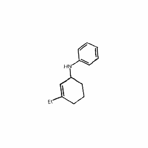 CCC1=CC(Nc2ccccc2)CCC1